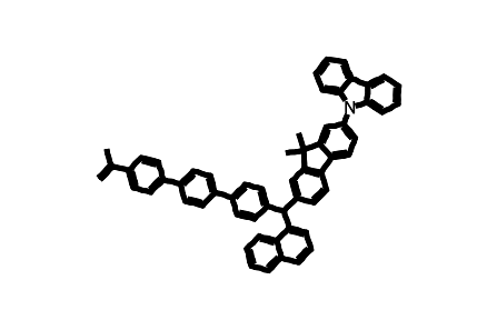 C=C(C)c1ccc(-c2ccc(-c3ccc(C(c4ccc5c(c4)C(C)(C)c4cc(-n6c7ccccc7c7ccccc76)ccc4-5)c4cccc5ccccc45)cc3)cc2)cc1